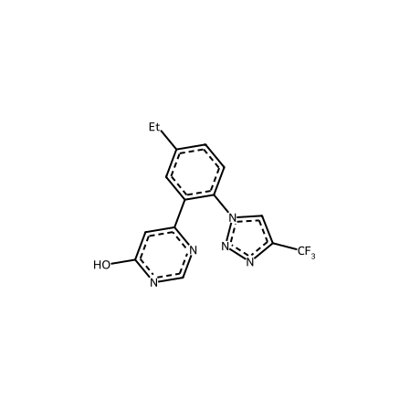 CCc1ccc(-n2cc(C(F)(F)F)nn2)c(-c2cc(O)ncn2)c1